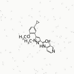 COc1ccc(C2CC2)cc1-c1cc(C(=O)Nc2ccncc2F)nn1C